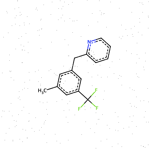 Cc1cc(Cc2ccccn2)cc(C(F)(F)F)c1